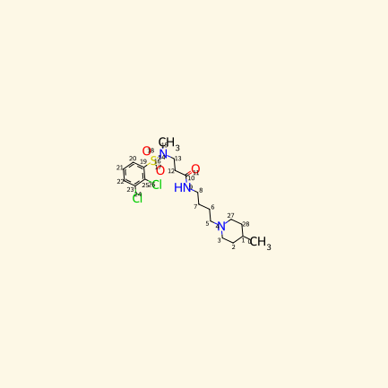 CC1CCN(CCCCNC(=O)CCN(C)S(=O)(=O)c2cccc(Cl)c2Cl)CC1